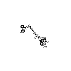 Cc1ccc(OC(CCN(C)CCOCCOCCNC(=O)[C@@H]2C[C@H]2CN2CC[C@]34c5c6ccc(O)c5OC3C(=O)CC[C@@]4(O)[C@H]2C6)c2ccccc2)cc1